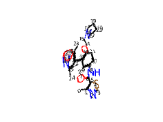 Cc1ncsc1C(=O)Nc1ccc(OCCN2CCCC2)c(-c2c(C)noc2C)c1